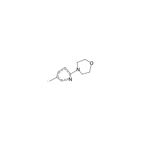 [CH2]c1ccc(N2CCOCC2)nc1